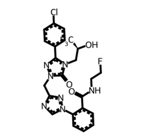 O=C(NCCF)c1ccccc1-n1cnc(Cn2nc(-c3ccc(Cl)cc3)n(C[C@H](O)C(F)(F)F)c2=O)n1